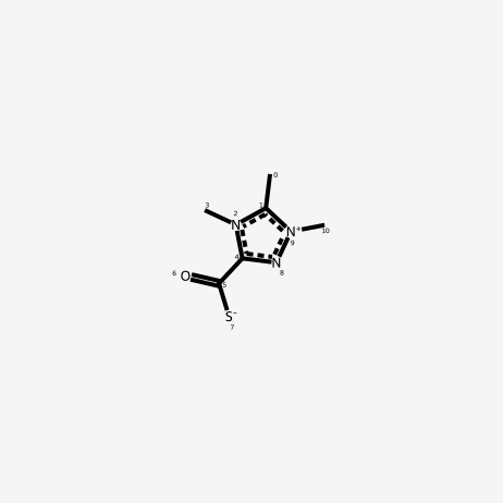 Cc1n(C)c(C(=O)[S-])n[n+]1C